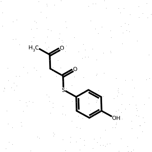 CC(=O)CC(=O)Sc1ccc(O)cc1